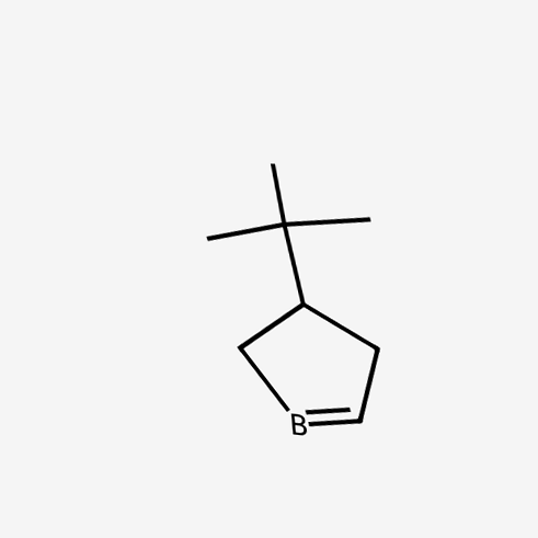 CC(C)(C)C1CB=CC1